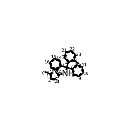 Cc1csc(NC(c2ccccc2)(c2ccccc2)c2ccccc2C)n1